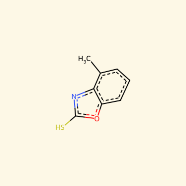 Cc1cccc2oc(S)nc12